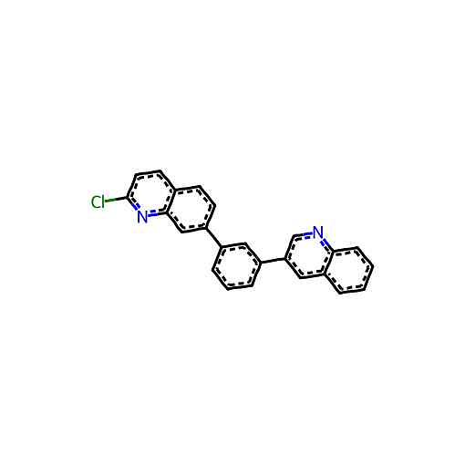 Clc1ccc2ccc(-c3cccc(-c4cnc5ccccc5c4)c3)cc2n1